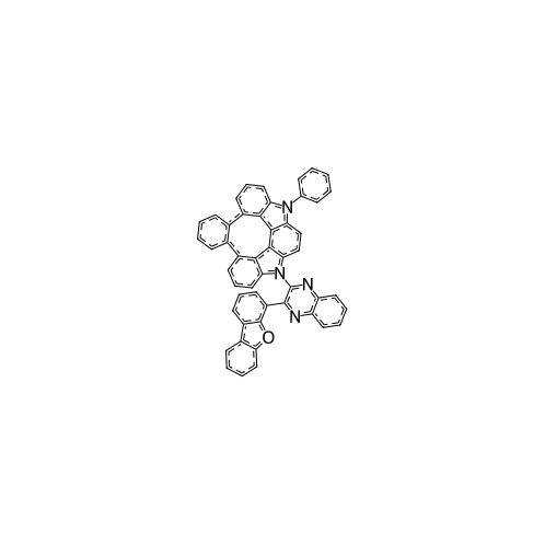 c1ccc(-n2c3cccc4c5ccccc5c5cccc6c5c5c(c43)c2ccc5n6-c2nc3ccccc3nc2-c2cccc3c2oc2ccccc23)cc1